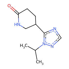 CC(C)n1ncnc1C1CCC(=O)NC1